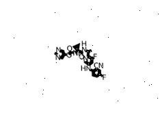 CC(NC(=O)C1(NC(=O)Oc2cncnc2)CC1)c1ncc(Nc2ccc(F)cc2C#N)cc1F